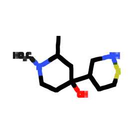 CC1CC(O)(C2CCSNC2)CCN1C(=O)O